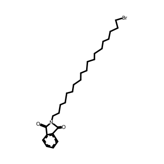 O=C1c2ccccc2C(=O)N1CCCCCCCCCCCCCCCCCCCBr